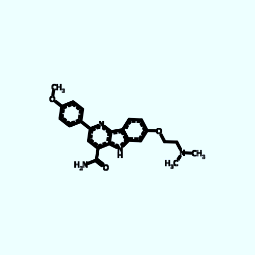 COc1ccc(-c2cc(C(N)=O)c3[nH]c4cc(OCCN(C)C)ccc4c3n2)cc1